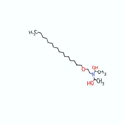 CCCCCCCCCCCCCCCCOCCN(C(C)O)C(C)O